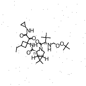 CCC1CC(NC(=O)[C@@H]2[C@@H]3[C@H](CN2C(=O)[C@@H](NCOOC(C)(C)C)C(C)(C)C)C3(C)C)(C(=O)C(=O)NC2CC2)C1